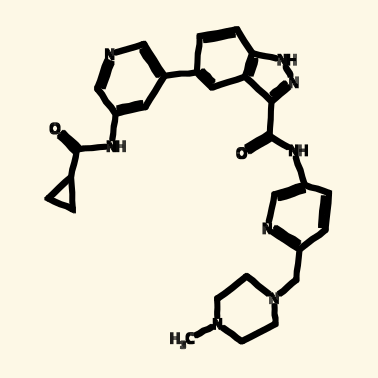 CN1CCN(Cc2ccc(NC(=O)c3n[nH]c4ccc(-c5cncc(NC(=O)C6CC6)c5)cc34)cn2)CC1